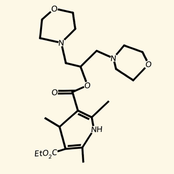 CCOC(=O)C1=C(C)NC(C)=C(C(=O)OC(CN2CCOCC2)CN2CCOCC2)C1C